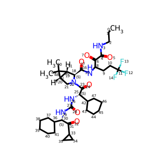 CCCNC(=O)C(=O)C(CCC(F)(F)F)NC(=O)[C@@H]1[C@@H]2[C@H](CN1C(=O)[C@@H](NC(=O)N[C@H](C(=O)C1CC1)C1CCCCC1)C1CCCCC1)C2(C)C